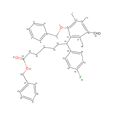 Cc1c(C)c(OCc2ccccc2)c(C(CCCCCC(=O)OCc2ccccc2)c2ccc(F)cc2)c(C)c1C=O